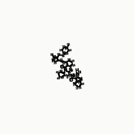 CC(NC(=O)c1c(N)nn2cccnc12)c1nc2cccc(C#Cc3cnn(C)c3CCN3CCN(C)CC3)c2c(=O)n1-c1ccccc1